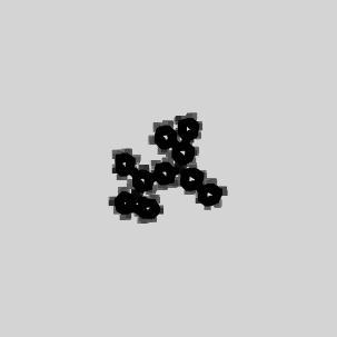 c1ccc(-c2ccc(N(c3ccc(-c4cc(-c5ccccc5)cc(-n5c6ccccc6c6ccccc65)c4)cc3)c3ccc(-c4ccccc4)c(-c4ccccc4)c3)cc2)cc1